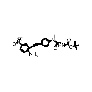 CC(C)(C)OC(=O)NCC(=O)Nc1ccc(C#Cc2cc([N+](=O)[O-])ccc2N)cc1